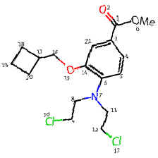 COC(=O)c1ccc(N(CCCl)CCCl)c(OCC2CCC2)c1